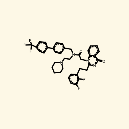 O=C(Cn1c(CCc2cccc(F)c2F)nc(=O)c2ccccc21)N(CCN1CCCCC1)Cc1ccc(-c2ccc(C(F)(F)F)cc2)cc1